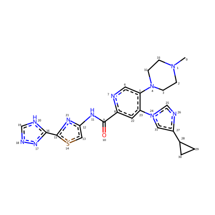 CN1CCN(c2cnc(C(=O)Nc3csc(-c4nnc[nH]4)n3)cc2-n2cnc(C3CC3)c2)CC1